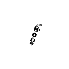 CCCCN1C[C@@H]2CN(c3ccc(N4CCN(S(C)(=O)=O)CC4)cc3)C[C@@H]2C1